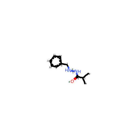 CC(C)C(=O)NNCc1ccccc1